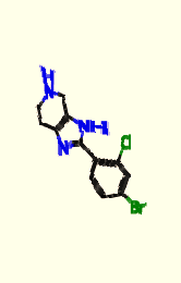 Clc1cc(Br)ccc1-c1nc2c([nH]1)CNCC2